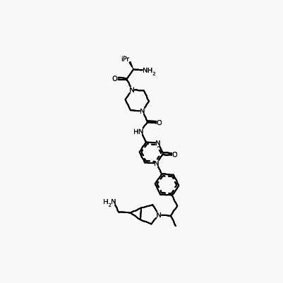 CC(C)[C@@H](N)C(=O)N1CCN(C(=O)Nc2ccn(-c3ccc(CC(C)N4CC5C(CN)C5C4)cc3)c(=O)n2)CC1